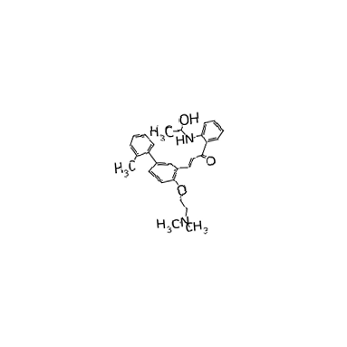 Cc1ccccc1-c1ccc(OCCN(C)C)c(C=CC(=O)c2ccccc2NC(C)O)c1